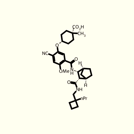 CCCC1(CNC(=O)[C@H]2[C@@H]3CC[C@@H](C3)[C@H]2NC(=O)c2cc(O[C@H]3CC[C@@](C)(C(=O)O)CC3)c(C#N)cc2OC)CCC1